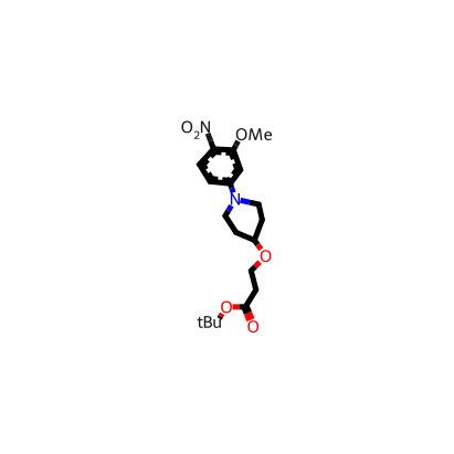 COc1cc(N2CCC(OCCC(=O)OC(C)(C)C)CC2)ccc1[N+](=O)[O-]